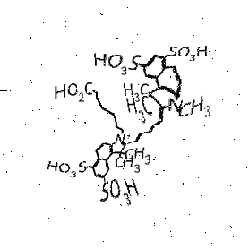 CN1/C(=C/C=C/C=C/C2=[N+](CCCCCC(=O)O)c3ccc4c(S(=O)(=O)O)cc(S(=O)(=O)O)cc4c3C2(C)C)C(C)(C)c2c1ccc1c(S(=O)(=O)O)cc(S(=O)(=O)O)cc21